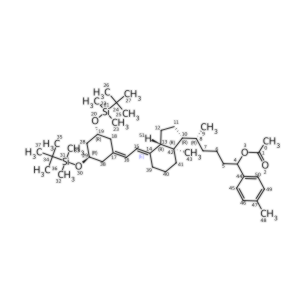 CC(=O)OC(CCC[C@@H](C)[C@H]1CC[C@H]2/C(=C/C=C3C[C@@H](O[Si](C)(C)C(C)(C)C)C[C@H](O[Si](C)(C)C(C)(C)C)C3)CCC[C@]12C)c1ccc(C)cc1